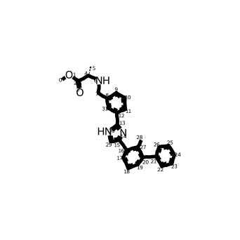 COC(=O)[C@H](C)NCc1cccc(-c2nc(-c3cccc(-c4ccccc4)c3C)c[nH]2)c1